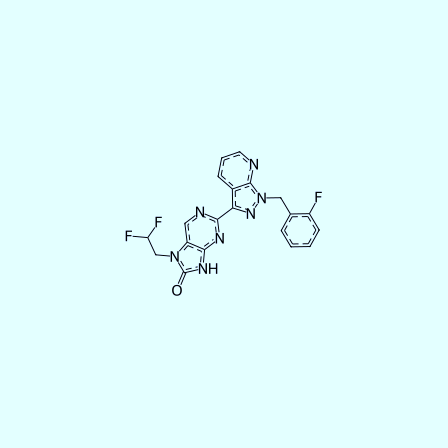 O=c1[nH]c2nc(-c3nn(Cc4ccccc4F)c4ncccc34)ncc2n1CC(F)F